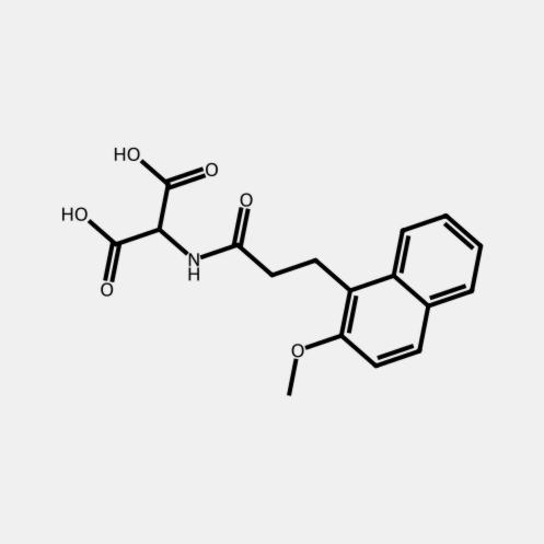 COc1ccc2ccccc2c1CCC(=O)NC(C(=O)O)C(=O)O